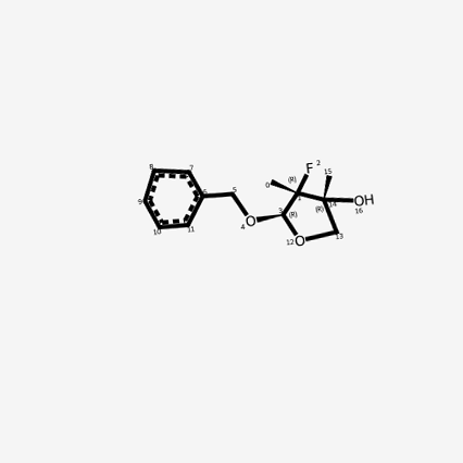 C[C@]1(F)[C@H](OCc2ccccc2)OC[C@@]1(C)O